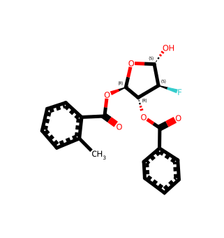 Cc1ccccc1C(=O)O[C@H]1O[C@H](O)[C@@H](F)[C@@H]1OC(=O)c1ccccc1